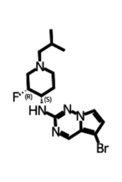 CC(C)CN1CC[C@H](Nc2ncc3c(Br)ccn3n2)[C@H](F)C1